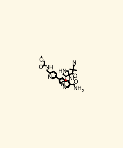 CC[C@H]1CNC[C@]1(Nc1c(C(N)=O)cnn2cc(-c3ccc(CNC(=O)COC)nc3)cc12)C(=O)C(C)(C)C#N